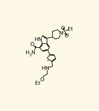 CCOCCNCc1ccc(-c2cc(C(N)=O)c3[nH]cc(C4CCN(S(=O)(=O)CC)CC4)c3c2)s1